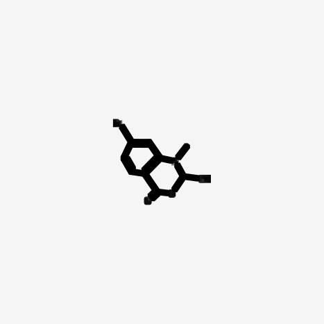 CN1c2cc(Br)ccc2C(=O)OC1O